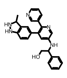 CC1NNc2ccc(-c3cc(NC(CO)c4ccccc4)cnc3-c3cccnc3)cc21